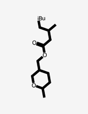 CCC(C)CC(C)CC(=O)OCC1CCC(C)OC1